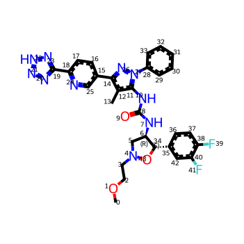 COCCN1C[C@@H](NC(=O)Nc2c(C)c(-c3ccc(-c4nn[nH]n4)nc3)nn2-c2ccccc2)[C@H](c2ccc(F)c(F)c2)O1